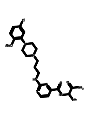 CCCC(NC(=O)c1ccnc(NCCCN2CCN(c3cc(Cl)ccc3OC)CC2)n1)C(N)=O